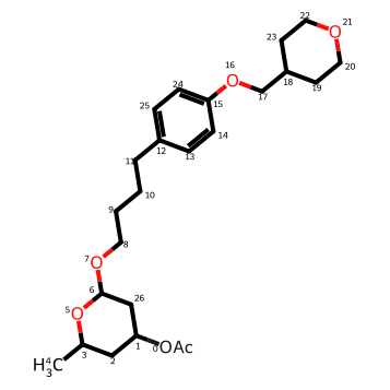 CC(=O)OC1CC(C)OC(OCCCCc2ccc(OCC3CCOCC3)cc2)C1